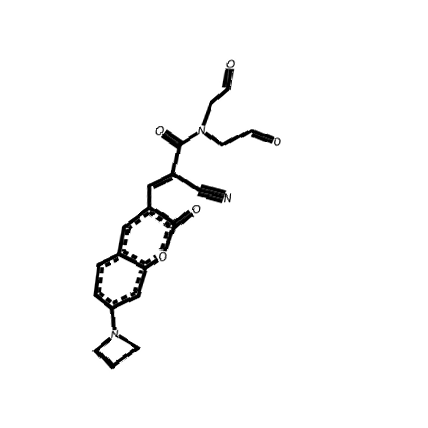 N#C/C(=C\c1cc2ccc(N3CCC3)cc2oc1=O)C(=O)N(CC=O)CC=O